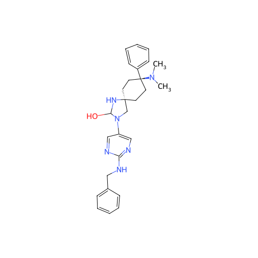 CN(C)[C@]1(c2ccccc2)CC[C@]2(CC1)CN(c1cnc(NCc3ccccc3)nc1)C(O)N2